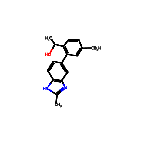 Cc1nc2cc(-c3cc(C(=O)O)ccc3C(C)O)ccc2[nH]1